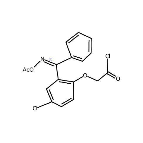 CC(=O)O/N=C(/c1ccccc1)c1cc(Cl)ccc1OCC(=O)Cl